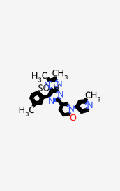 Cc1ccc(S(=O)(=O)O)c(-c2nc(C3CCC(=O)N(c4ccnc(C)c4)C3)nc3nc(C)c(C)nc23)c1